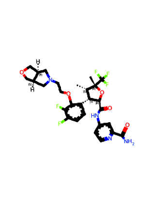 C[C@H]1[C@@H](c2ccc(F)c(F)c2OCCN2C[C@H]3COC[C@H]3C2)[C@H](C(=O)Nc2ccnc(C(N)=O)c2)O[C@@]1(C)C(F)(F)F